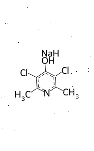 Cc1nc(C)c(Cl)c(O)c1Cl.[NaH]